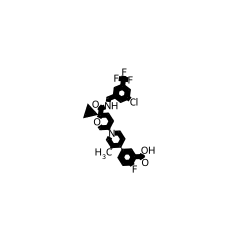 C[C@H]1CN([C@@H]2CC[C@@](C(=O)NCc3cc(Cl)cc(C(F)(F)F)c3)(C3CC3)OC2)CC[C@@H]1c1ccc(F)c(C(=O)O)c1